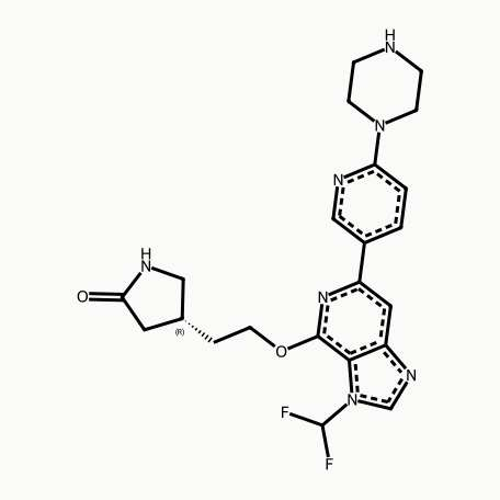 O=C1C[C@@H](CCOc2nc(-c3ccc(N4CCNCC4)nc3)cc3ncn(C(F)F)c23)CN1